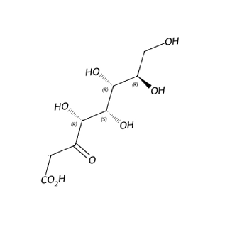 O=C(O)[CH]C(=O)[C@H](O)[C@@H](O)[C@H](O)[C@H](O)CO